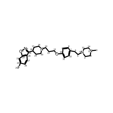 CN1CCN(CCc2ccc(OCCCN3CCC(c4noc5cc(F)ccc45)CC3)cc2)CC1